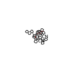 N#Cc1c(-n2c3ccccc3c3ccccc32)c(C#N)c(-n2c3ccccc3c3ccccc32)c(-n2c3cccc(-c4cccc5c4ccc4ccccc45)c3c3ccc4c5ccccc5oc4c32)c1-n1c2ccccc2c2ccccc21